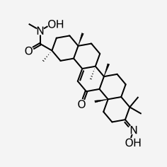 CN(O)C(=O)[C@@]1(C)CC[C@]2(C)CC[C@]3(C)C(=CC(=O)C4[C@@]5(C)CC/C(=N\O)C(C)(C)C5CC[C@]43C)C2C1